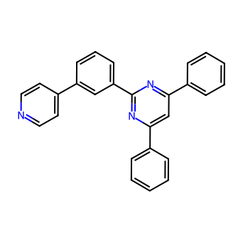 c1ccc(-c2cc(-c3ccccc3)nc(-c3cccc(-c4ccncc4)c3)n2)cc1